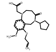 C=CCOc1c(OC)ccc2c1CN(C1CCCC1)C(=O)CCN2CC(=O)O